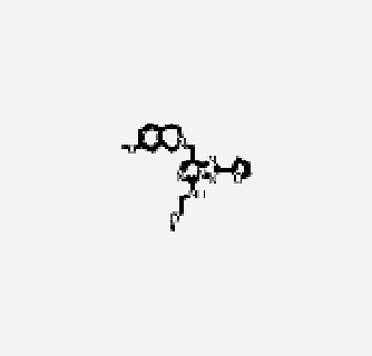 COCCNc1ncc(CN2CCc3ccc(OC)cc3C2)c2nc(-c3ccco3)nn12